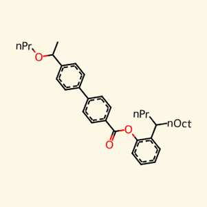 CCCCCCCCC(CCC)c1ccccc1OC(=O)c1ccc(-c2ccc(C(C)OCCC)cc2)cc1